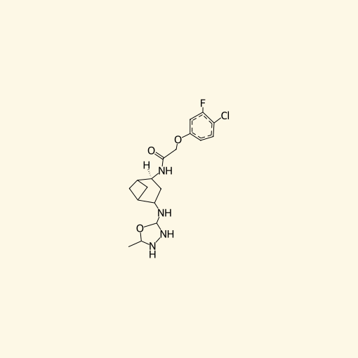 CC1NNC(NC2C[C@H](NC(=O)COc3ccc(Cl)c(F)c3)C3CC2C3)O1